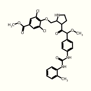 COC(=O)c1cc(Cl)c(OCC2NCCC2C(=O)C(OC)c2ccc(NC(=O)Nc3ccccc3C)cc2)c(Cl)c1